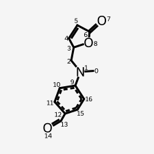 CN(CC1C=CC(=O)O1)c1ccc(C=O)cc1